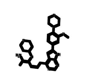 COc1cc(-c2cc3c(C/C=C\C(OC4CCOCC4)=C(/C)N)ncnc3[nH]2)ccc1N1CCOCC1